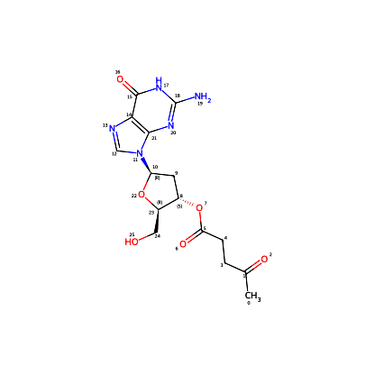 CC(=O)CCC(=O)O[C@H]1C[C@H](n2cnc3c(=O)[nH]c(N)nc32)O[C@@H]1CO